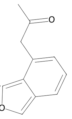 CC(=O)Cc1cccc2co[c]c12